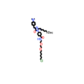 CCCCCCCCCCCCC/C=C/C1=NC(=C\c2ccc(N(C)C)cc2)/C(=O)N1C1CCC(C(=O)NCCOCCOCCCCCCCl)CC1